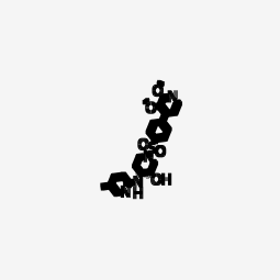 COc1nccc(-c2ccc(S(=O)(=O)N3CC[C@@H](Nc4ccc(C)cn4)[C@@H](O)C3)cc2)c1OC